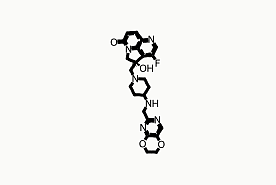 O=c1ccc2ncc(F)c3c2n1C[C@@]3(O)CN1CCC(NCc2ncc3c(n2)OCCO3)CC1